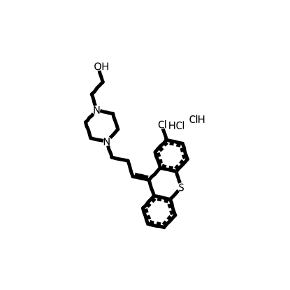 Cl.Cl.OCCN1CCN(CCC=C2c3ccccc3Sc3ccc(Cl)cc32)CC1